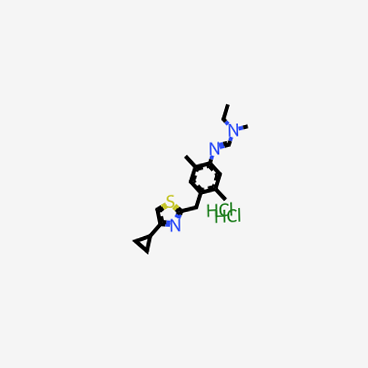 CCN(C)C=Nc1cc(C)c(Cc2nc(C3CC3)cs2)cc1C.Cl.Cl